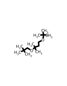 BC(C)(C)OCCC(C)(C)OCC(C)(C)C